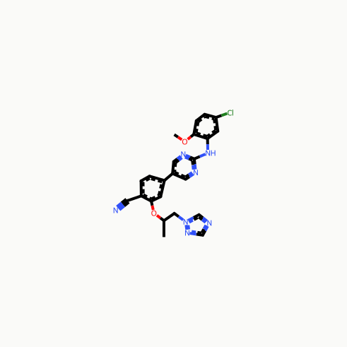 COc1ccc(Cl)cc1Nc1ncc(-c2ccc(C#N)c(OC(C)Cn3cncn3)c2)cn1